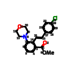 COC(=O)c1cccc(N2CCOCC2)c1C=Cc1ccc(Cl)cc1